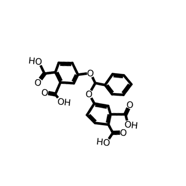 O=C(O)c1ccc(OC(Oc2ccc(C(=O)O)c(C(=O)O)c2)c2ccccc2)cc1C(=O)O